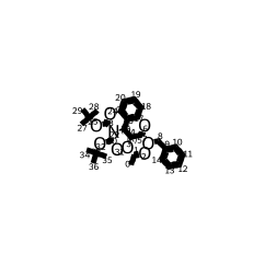 CC(=O)O[C@@H](C(=O)OCc1ccccc1)[C@@H](c1ccccc1)N(C(=O)OC(C)(C)C)C(=O)OC(C)(C)C